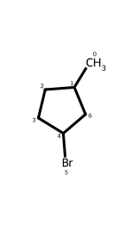 CC1CCC(Br)C1